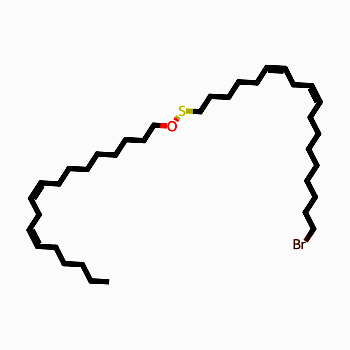 CCCCC/C=C\C/C=C\CCCCCCCCOSCCCCC/C=C\C/C=C\CCCCCCCCBr